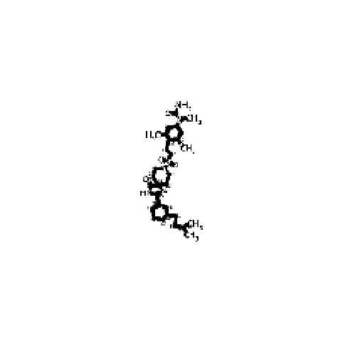 Cc1cc(N(C)C(N)=O)cc(C)c1CCS(=O)(=O)N1CCC2(CC1)N=C(c1cccc(CCC(C)C)c1)NC2=O